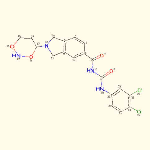 O=C(NC(=O)c1ccc2c(c1)CN(C1CCONO1)C2)Nc1ccc(Cl)c(Cl)c1